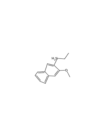 CC[SiH2]c1cc2ccccc2cc1OC